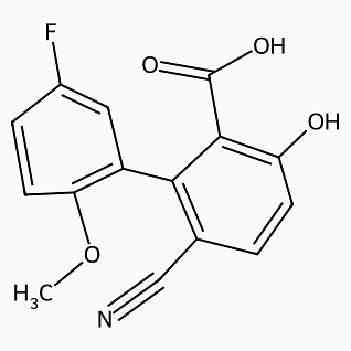 COc1ccc(F)cc1-c1c(C#N)ccc(O)c1C(=O)O